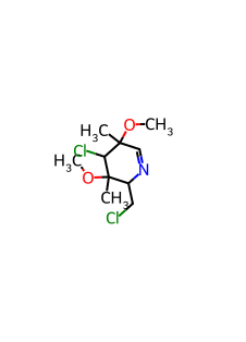 COC1(C)C=NC(CCl)C(C)(OC)C1Cl